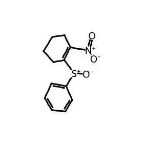 O=[N+]([O-])C1=C([S+]([O-])c2ccccc2)CCCC1